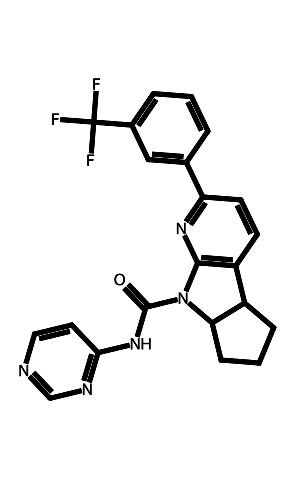 O=C(Nc1ccncn1)N1c2nc(-c3cccc(C(F)(F)F)c3)ccc2C2CCCC21